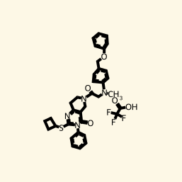 CN(CC(=O)N1CCc2nc(SC3CCC3)n(-c3ccccc3)c(=O)c2C1)c1ccc(COc2ccccc2)cc1.O=C(O)C(F)(F)F